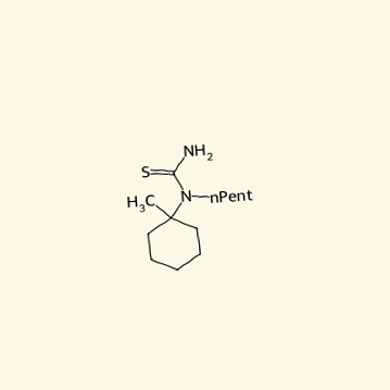 CCCCCN(C(N)=S)C1(C)CCCCC1